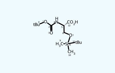 CC(C)(C)OC(=O)N[C@@H](CO[Si](C)(C)C(C)(C)C)C(=O)O